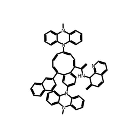 C=C(NC1C(=C)C=Cc2cccnc21)c1ccc(N2c3ccccc3N(C)c3ccccc32)cccc(-c2ccc3ccccc3c2)c2cc(N3c4ccccc4N(C)c4ccccc43)ccc12